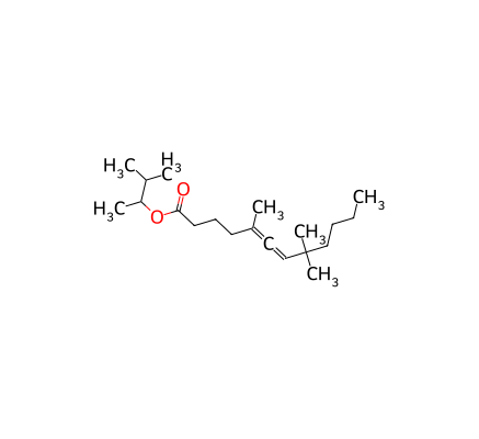 CCCCC(C)(C)C=C=C(C)CCCC(=O)OC(C)C(C)C